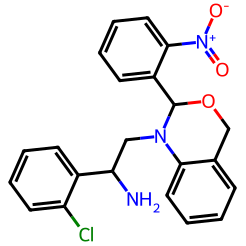 NC(CN1c2ccccc2COC1c1ccccc1[N+](=O)[O-])c1ccccc1Cl